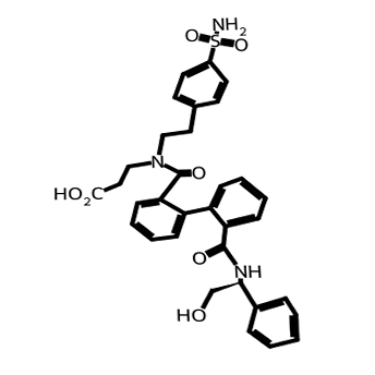 NS(=O)(=O)c1ccc(CCN(CCC(=O)O)C(=O)c2ccccc2-c2ccccc2C(=O)N[C@H](CO)c2ccccc2)cc1